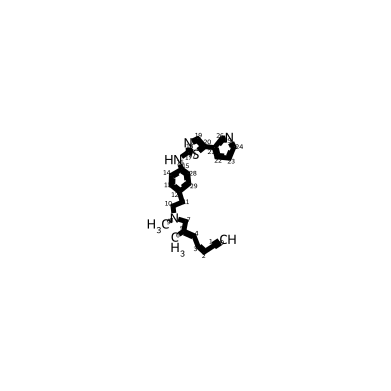 C#C/C=C\C=C(/C)CN(C)CCc1ccc(Nc2ncc(-c3cccnc3)s2)cc1